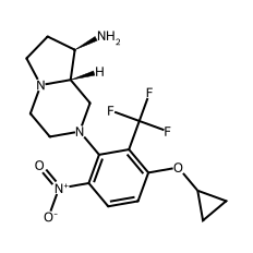 N[C@@H]1CCN2CCN(c3c([N+](=O)[O-])ccc(OC4CC4)c3C(F)(F)F)C[C@@H]12